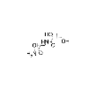 CC(N)(O)C(=O)CCNC(=O)[C@H](O)C(C)(C)CO